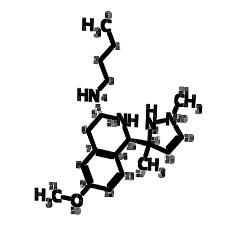 CCCCN[C@H]1Cc2cc(OC)ccc2[C@H](C2(C)C=CN(C)N2)N1